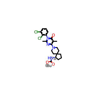 Cc1c(N2CCC3(CCC[C@H]3NC(=O)OC(C)(C)C)CC2)nc(C)n(-c2cccc(Cl)c2Cl)c1=O